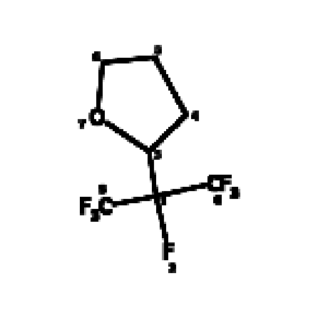 FC(F)(F)C(F)(C1CCCO1)C(F)(F)F